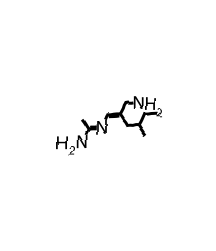 CCC(C)C/C(=C\N=C(/C)N)CN